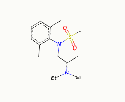 CCN(CC)C(C)CN(c1c(C)cccc1C)S(C)(=O)=O